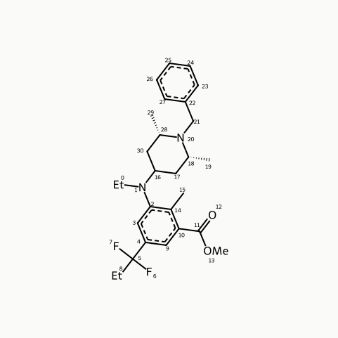 CCN(c1cc(C(F)(F)CC)cc(C(=O)OC)c1C)C1C[C@@H](C)N(Cc2ccccc2)[C@@H](C)C1